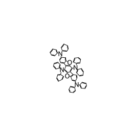 c1ccc(N(c2ccccc2)c2ccc3c(c2)oc2c(N(c4ccccc4)c4ccccc4)c4c(oc5cc(N(c6ccccc6)c6ccccc6)ccc54)c(N(c4ccccc4)c4ccccc4)c23)cc1